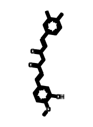 COc1ccc(C=CC(=O)CC(=O)C=Cc2ccc(C)c(C)c2)cc1O